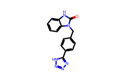 O=c1[nH]c2ccccc2n1Cc1ccc(-c2nnn[nH]2)cc1